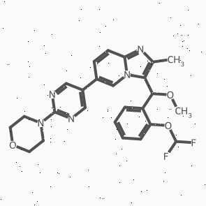 COC(c1ccccc1OC(F)F)c1c(C)nc2ccc(-c3cnc(N4CCOCC4)nc3)cn12